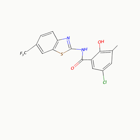 Cc1cc(Cl)cc(C(=O)Nc2nc3ccc(C(F)(F)F)cc3s2)c1O